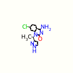 C[C@H](c1cc[nH]n1)n1c(=O)nc(N)c2ccc(Cl)cc21